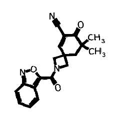 CC1(C)CC2(C=C(C#N)C1=O)CN(C(=O)c1onc3ccccc13)C2